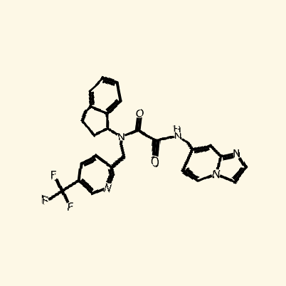 O=C(Nc1ccn2ccnc2c1)C(=O)N(Cc1ccc(C(F)(F)F)cn1)C1CCc2ccccc21